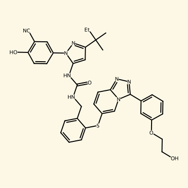 CCC(C)(C)c1cc(NC(=O)NCc2ccccc2Sc2ccc3nnc(-c4cccc(OCCO)c4)n3c2)n(-c2ccc(O)c(C#N)c2)n1